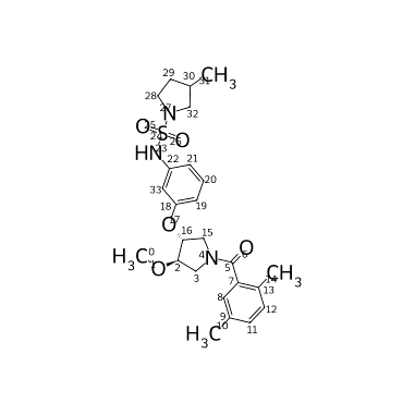 CO[C@@H]1CN(C(=O)c2cc(C)ccc2C)C[C@H]1Oc1cccc(NS(=O)(=O)N2CCC(C)C2)c1